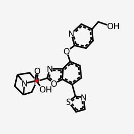 O=C(O)N1C2CC1CN(c1nc3c(Oc4ccc(CO)cn4)ccc(-c4nccs4)c3o1)C2